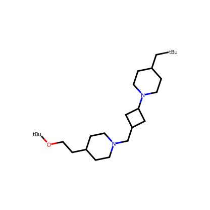 CC(C)(C)CC1CCN(C2CC(CN3CCC(CCOC(C)(C)C)CC3)C2)CC1